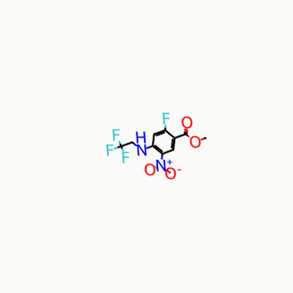 COC(=O)c1cc([N+](=O)[O-])c(NCC(F)(F)F)cc1F